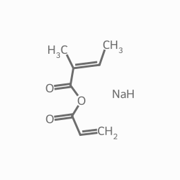 C=CC(=O)OC(=O)C(C)=CC.[NaH]